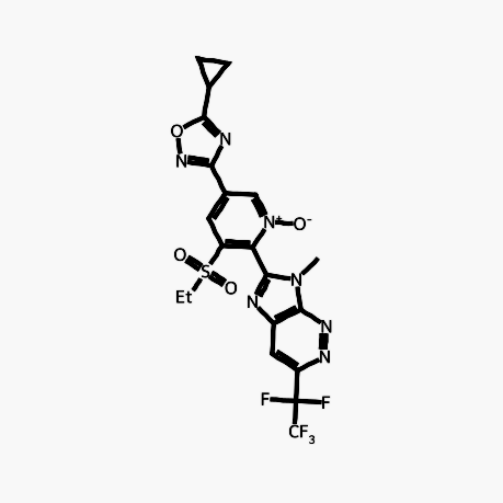 CCS(=O)(=O)c1cc(-c2noc(C3CC3)n2)c[n+]([O-])c1-c1nc2cc(C(F)(F)C(F)(F)F)nnc2n1C